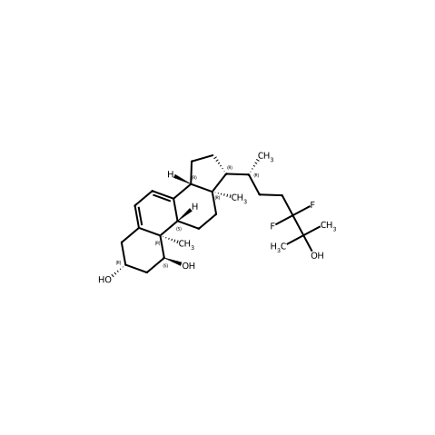 C[C@H](CCC(F)(F)C(C)(C)O)[C@H]1CC[C@H]2C3=CC=C4C[C@@H](O)C[C@H](O)[C@]4(C)[C@H]3CC[C@]12C